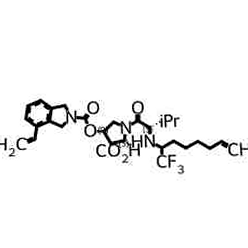 C=CCCCCC(N[C@H](C(=O)N1C[C@H](OC(=O)N2Cc3cccc(C=C)c3C2)C[C@H]1C(=O)O)C(C)C)C(F)(F)F